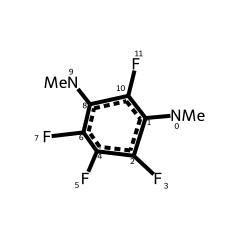 CNc1c(F)c(F)c(F)c(NC)c1F